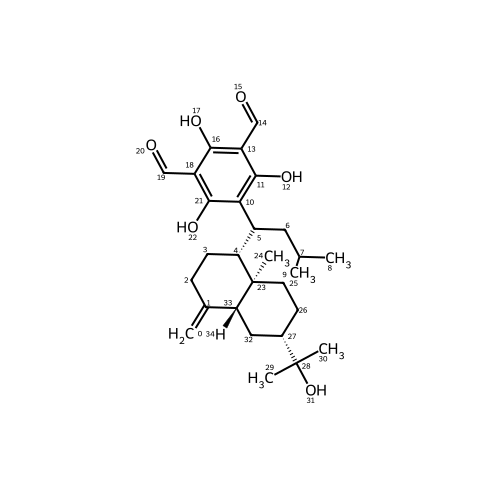 C=C1CC[C@H](C(CC(C)C)c2c(O)c(C=O)c(O)c(C=O)c2O)[C@@]2(C)CC[C@H](C(C)(C)O)C[C@H]12